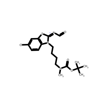 CN(CCCCn1/c(=N\C=O)sc2cc(Cl)ccc21)C(=O)OC(C)(C)C